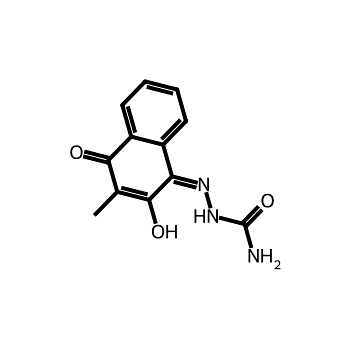 CC1=C(O)C(=NNC(N)=O)c2ccccc2C1=O